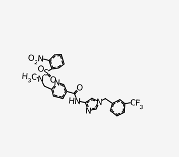 CN(Cc1ccc(C(=O)Nc2cn(Cc3cccc(C(F)(F)F)c3)cn2)cn1)S(=O)(=O)c1ccccc1[N+](=O)[O-]